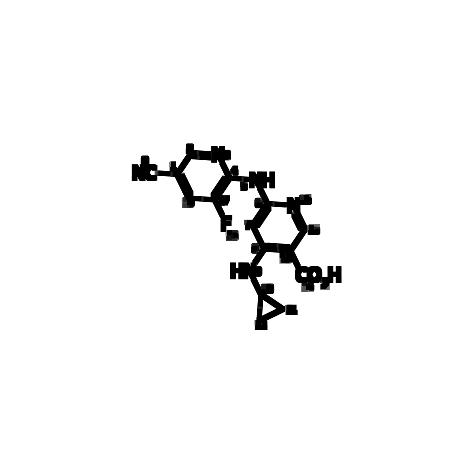 N#Cc1cnc(Nc2cc(NC3CC3)c(C(=O)O)cn2)c(F)c1